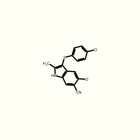 Cc1[nH]c2cc(C#N)c(Cl)cc2c1Sc1ccc(Cl)cc1